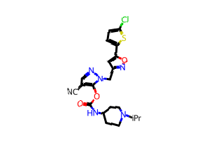 CC(C)N1CCC(NC(=O)Oc2c(C#N)cnn2Cc2cc(-c3ccc(Cl)s3)on2)CC1